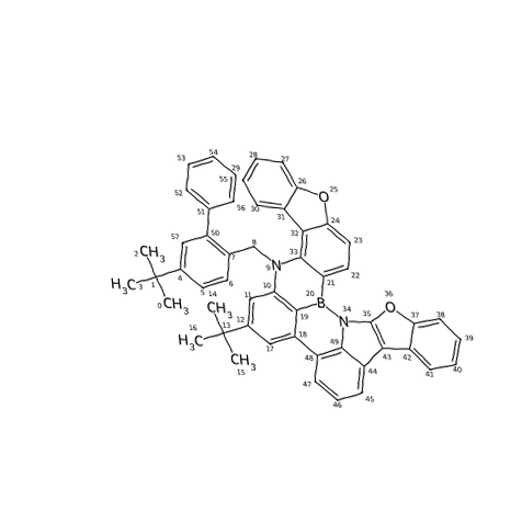 CC(C)(C)c1ccc(CN2c3cc(C(C)(C)C)cc4c3B(c3ccc5oc6ccccc6c5c32)n2c3oc5ccccc5c3c3cccc-4c32)c(-c2ccccc2)c1